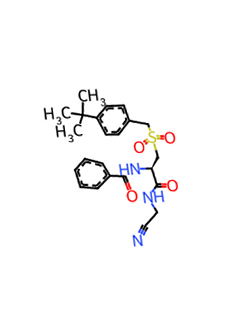 CC(C)(C)c1ccc(CS(=O)(=O)C[C@H](NC(=O)c2ccccc2)C(=O)NCC#N)cc1